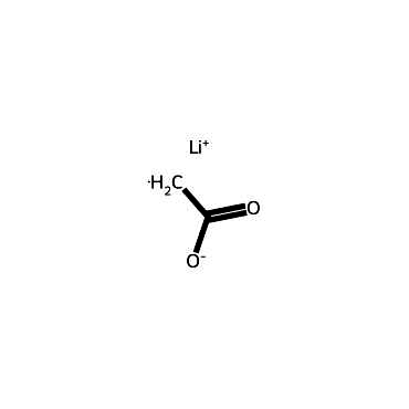 [CH2]C(=O)[O-].[Li+]